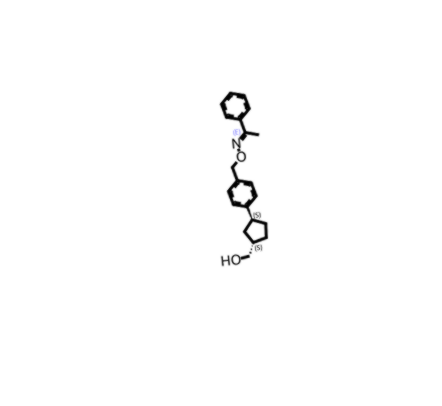 C/C(=N\OCc1ccc([C@H]2CC[C@H](CO)C2)cc1)c1ccccc1